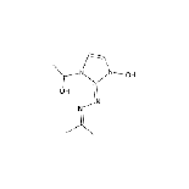 CC(C)=NN=c1n(O)ccn1C(C)O